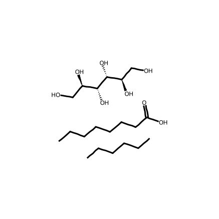 CCCCCC.CCCCCCCC(=O)O.OC[C@@H](O)[C@@H](O)[C@H](O)[C@H](O)CO